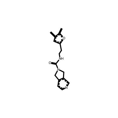 C=c1cc(CCNC(=O)N2Cc3ccncc3C2)oc1=C